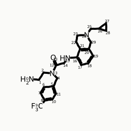 NCCN(Cc1ccc(C(F)(F)F)cc1)C(=O)CNc1cccc2c1CCN(CC1CC1)C2